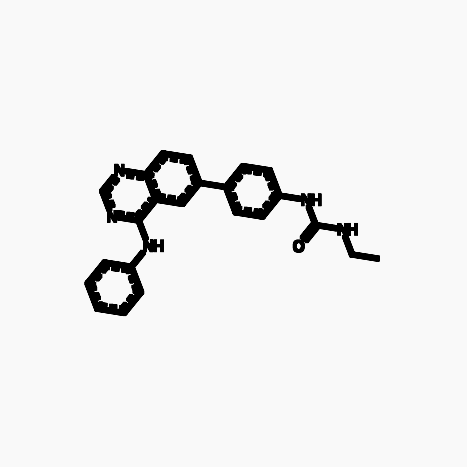 CCNC(=O)Nc1ccc(-c2ccc3ncnc(Nc4ccccc4)c3c2)cc1